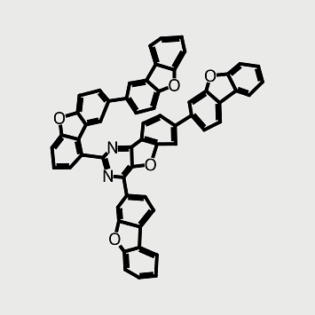 c1ccc2c(c1)oc1cc(-c3ccc4c(c3)oc3c(-c5ccc6c(c5)oc5ccccc56)nc(-c5cccc6oc7ccc(-c8ccc9oc%10ccccc%10c9c8)cc7c56)nc34)ccc12